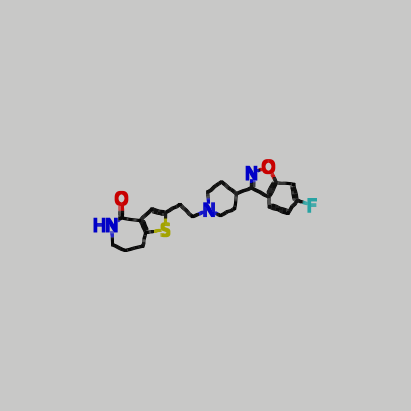 O=C1NCCCc2sc(CCN3CCC(c4noc5cc(F)ccc45)CC3)cc21